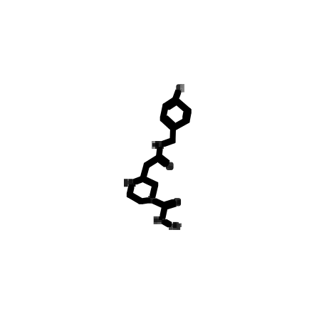 CCCNC(=O)N1CCNC(CC(=O)NCc2ccc(Cl)cc2)C1